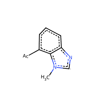 CC(=O)c1cccc2n[c]n(C)c12